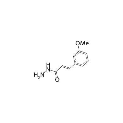 COc1cccc(C=CC(=O)NN)c1